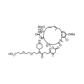 COc1cc2cc(c1Cl)N(C)C(=O)C[C@H](OC(=O)[C@H](C)N(C)C(=O)CCC(=O)N(CCOCCOCCC(=O)O)C1CCNCC1)C1(C)OC1[C@H](C)[C@@H]1C[C@@](O)(NC(=O)O1)[C@H](OC)/C=C/C=C(\C)C2